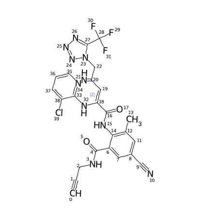 C#CCNC(=O)c1cc(C#N)cc(C)c1NC(=O)/C(=C/C(=N)Cn1nnnc1C(F)(F)F)Nc1ncccc1Cl